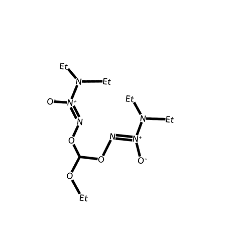 CCOC(ON=[N+]([O-])N(CC)CC)ON=[N+]([O-])N(CC)CC